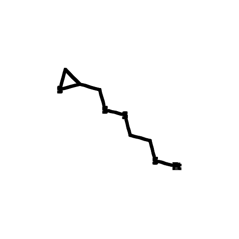 CCSCCSSCC1CS1